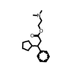 CN(C)CCOC(=O)CC(c1ccccc1)C1CCCC1